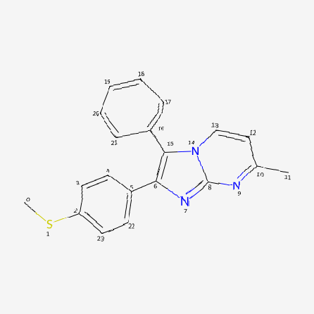 CSc1ccc(-c2nc3nc(C)ccn3c2-c2ccccc2)cc1